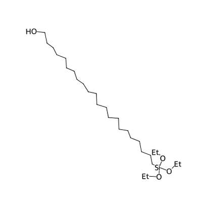 CCO[Si](CCCCCCCCCCCCCCCCCCCCCCO)(OCC)OCC